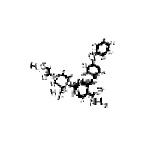 C=CC(=O)N1CCN(c2ncc(C(N)=O)c(Oc3ccc(Oc4ccccc4)cc3)n2)C(C)C1